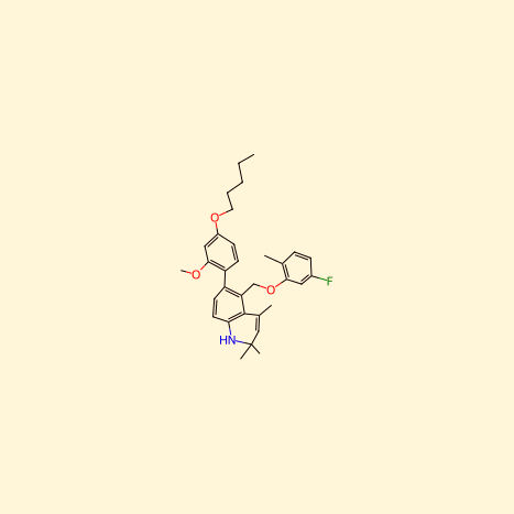 CCCCCOc1ccc(-c2ccc3c(c2COc2cc(F)ccc2C)C(C)=CC(C)(C)N3)c(OC)c1